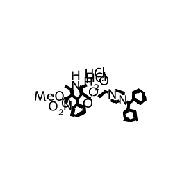 COC(=O)C1=C(C)NC(C)=C(C(=O)OCCN2CCN(C(c3ccccc3)c3ccccc3)CC2)C1c1ccccc1[N+](=O)[O-].Cl.Cl.O